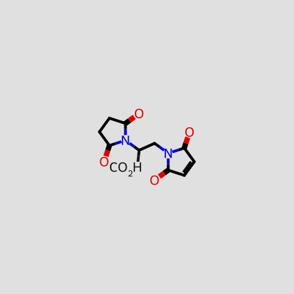 O=C(O)C(CN1C(=O)C=CC1=O)N1C(=O)CCC1=O